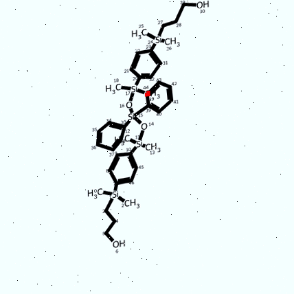 C[Si](C)(CCCO)c1ccc([Si](C)(C)O[Si](O[Si](C)(C)c2ccc([Si](C)(C)CCCO)cc2)(c2ccccc2)c2ccccc2)cc1